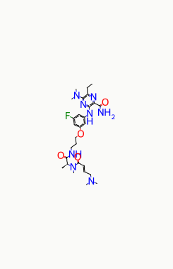 CCc1nc(C(N)=O)c(Nc2cc(F)cc(OCCCNC(=O)[C@H](C)N(C)C(=O)/C=C/CN(C)C)c2)nc1N(C)C